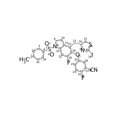 Cc1ccc(S(=O)(=O)n2ccc3c(Cc4csc(I)n4)c(Oc4ccc(F)c(C#N)c4)c(F)cc32)cc1